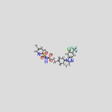 CCc1nc2cc(C(F)(F)F)c(Cl)cc2n1-c1ccc(CCOC(=O)NS(=O)(=O)c2ccc(C)cn2)cc1